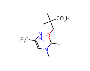 CC(OCC(C)(C)C(=O)O)N(C)/C=C(\N)C(F)(F)F